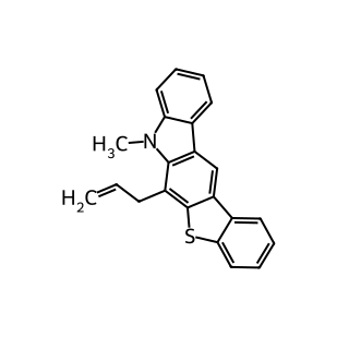 C=CCc1c2sc3ccccc3c2cc2c3ccccc3n(C)c12